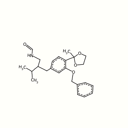 CC(C)C(CNC=O)Cc1ccc(C2(C)OCCO2)c(OCc2ccccc2)c1